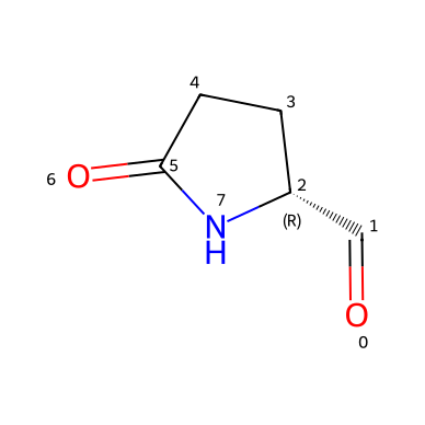 O=[C][C@H]1CCC(=O)N1